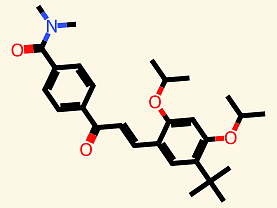 CC(C)Oc1cc(OC(C)C)c(C(C)(C)C)cc1C=CC(=O)c1ccc(C(=O)N(C)C)cc1